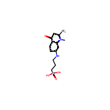 Cn1c(C(F)(F)F)cc(=O)c2ccc(NCCCP(=O)(O)O)cc21